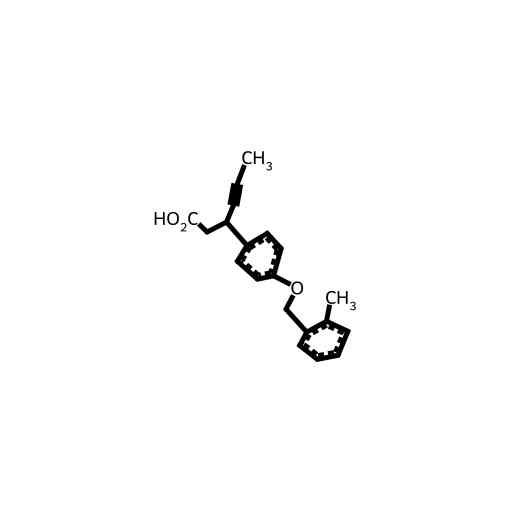 CC#CC(CC(=O)O)c1ccc(OCc2ccccc2C)cc1